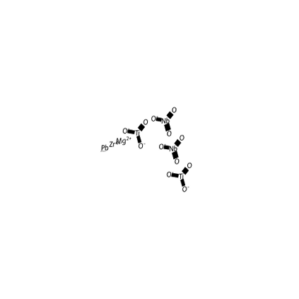 [Mg+2].[O]=[Nb](=[O])[O-].[O]=[Nb](=[O])[O-].[O]=[Ti]([O-])[O-].[O]=[Ti]([O-])[O-].[Pb].[Zr+4]